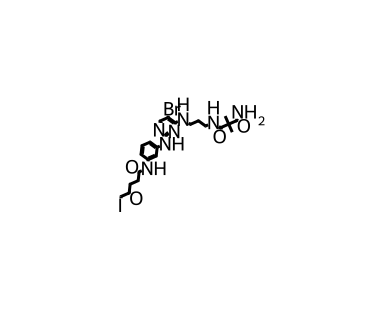 CC(C)(C(N)=O)C(=O)NCCCNc1nc(Nc2cccc(NC(=O)CCC(=O)CI)c2)ncc1Br